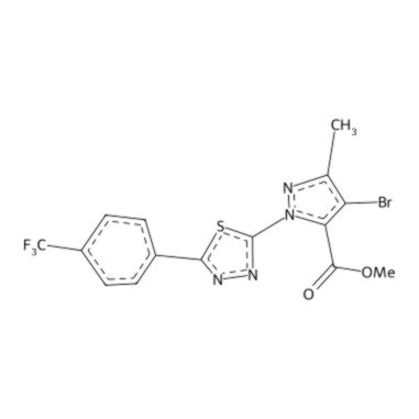 COC(=O)c1c(Br)c(C)nn1-c1nnc(-c2ccc(C(F)(F)F)cc2)s1